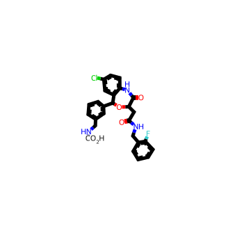 O=C(O)NCc1cccc(C2OC(CC(=O)NCc3ccccc3F)C(=O)Nc3ccc(Cl)cc32)c1